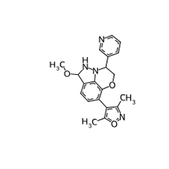 COC1NN2c3c1ccc(-c1c(C)noc1C)c3OCC2c1cccnc1